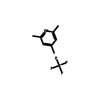 Cc1cc(C)[o+]c(C)c1.F[B-](F)(F)F